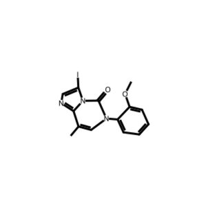 COc1ccccc1-n1cc(C)c2ncc(I)n2c1=O